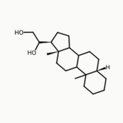 CC12CCCC[C@H]1CCC1C2CC[C@@]2(C)C1CC[C@@H]2C(O)CO